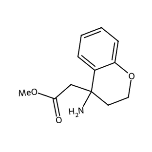 COC(=O)CC1(N)CCOc2ccccc21